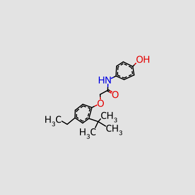 CCc1ccc(OCC(=O)Nc2ccc(O)cc2)c(C(C)(C)C)c1